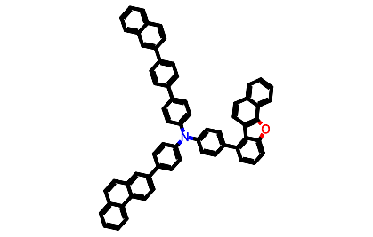 c1ccc2cc(-c3ccc(-c4ccc(N(c5ccc(-c6ccc7c(ccc8ccccc87)c6)cc5)c5ccc(-c6cccc7oc8c9ccccc9ccc8c67)cc5)cc4)cc3)ccc2c1